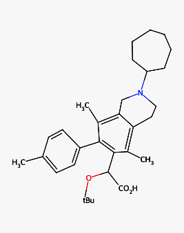 Cc1ccc(-c2c(C)c3c(c(C)c2C(OC(C)(C)C)C(=O)O)CCN(C2CCCCCC2)C3)cc1